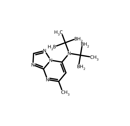 BC(B)(C)N(c1cc(C)nc2ncnn12)C(B)(B)C